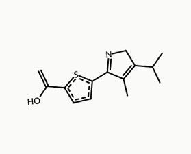 C=C(O)c1ccc(C2=NCC(C(C)C)=C2C)s1